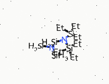 CC[Si](CC)(CC)N([SiH2]N([SiH3])[SiH3])[Si](CC)(CC)CC